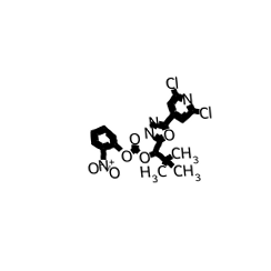 CC(C)(C)C(OC(=O)Oc1ccccc1[N+](=O)[O-])c1nnc(-c2cc(Cl)nc(Cl)c2)o1